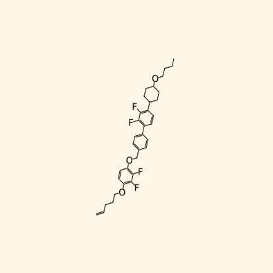 C=CCCCOc1ccc(OCc2ccc(-c3ccc(C4CCC(OCCCC)CC4)c(F)c3F)cc2)c(F)c1F